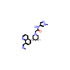 C/N=C\c1ccc([C@H]2C[C@@H](C)CN(CC(=O)Nc3cnn(C)c3)C2)c2cccnc12